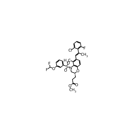 COC(=O)CC[C@H]1CN(S(=O)(=O)c2cccc(OC(F)F)c2)c2c(ccc(/C=C(\C)c3c(F)cccc3Cl)c2C)O1